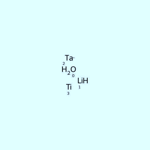 O.[LiH].[Ta].[Ti]